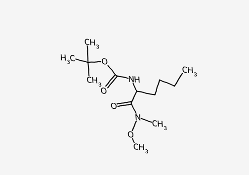 CCCCC(NC(=O)OC(C)(C)C)C(=O)N(C)OC